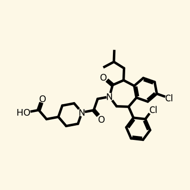 CC(C)CC1C(=O)N(CC(=O)N2CCC(CC(=O)O)CC2)CC(c2ccccc2Cl)c2cc(Cl)ccc21